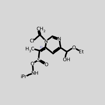 C=C(Cl)N1C=NC(C(O)OCC)=C/C1=C(/C)S(=O)ONC(C)C